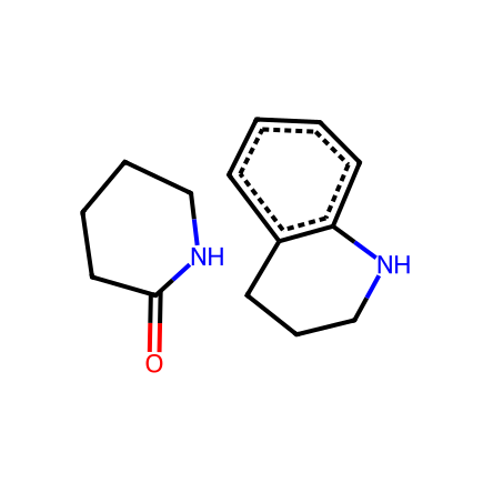 O=C1CCCCN1.c1ccc2c(c1)CCCN2